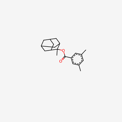 Cc1cc(C)cc(C(=O)OC2(C)C3CC4CC(C3)CC2C4)c1